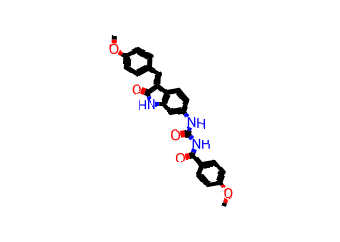 COc1ccc(C=C2C(=O)Nc3cc(NC(=O)NC(=O)c4ccc(OC)cc4)ccc32)cc1